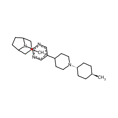 CN1CC2CCC(C1)N2c1ncc(C2CCN([C@H]3CC[C@H](C)CC3)CC2)cn1